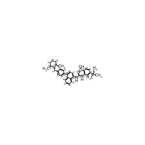 COc1ccc(C(C)(C)C)cc1NC(=O)Nc1ccc(-c2ccc(CN3C(C)CCCC3C)nc2)c2ccccc12